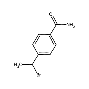 CC(Br)c1ccc(C(N)=O)cc1